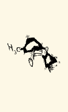 Cc1ccc2c(c1)[PH](=O)c1cc(F)ccc1O2